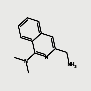 CN(C)c1nc(CN)cc2ccccc12